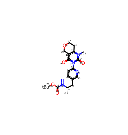 C[C@@H](Cc1ccc(-n2c(=O)c3c(n(C)c2=O)CCOC3)nc1)NC(=O)OC(C)(C)C